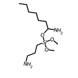 CCCCCCC(N)O[Si](CCCN)(OC)OC